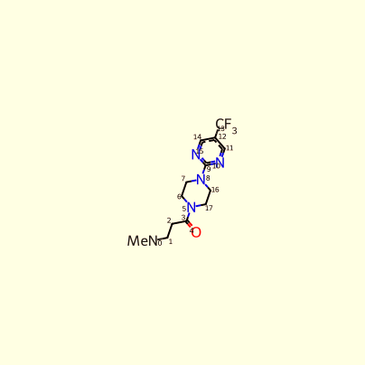 CNCCC(=O)N1CCN(c2ncc(C(F)(F)F)cn2)CC1